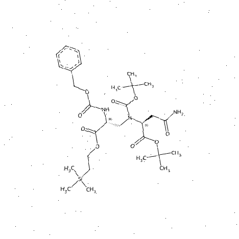 CC(C)(C)OC(=O)[C@H](CC(N)=O)N(C[C@@H](NC(=O)OCc1ccccc1)C(=O)OCC[Si](C)(C)C)C(=O)OC(C)(C)C